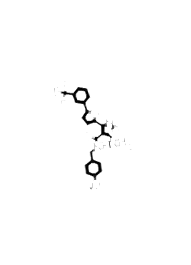 COc1ccc(CNC(=O)c2c(-c3ccc(-c4cccc(C(F)(F)F)c4)o3)noc2N)cc1